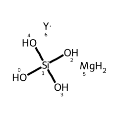 O[Si](O)(O)O.[MgH2].[Y]